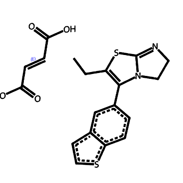 CCC1=C(c2ccc3sccc3c2)N2CCN=C2S1.O=C(O)/C=C/C(=O)O